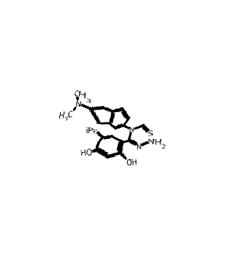 CC(C)c1cc(/C(=N/N)N(C=S)c2ccc3c(c2)CC(N(C)C)C3)c(O)cc1O